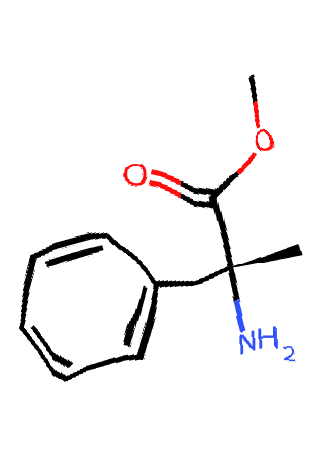 COC(=O)[C@](C)(N)c1ccccc1